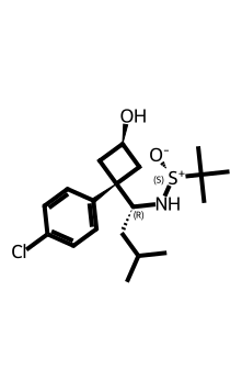 CC(C)C[C@@H](N[S@+]([O-])C(C)(C)C)[C@]1(c2ccc(Cl)cc2)C[C@@H](O)C1